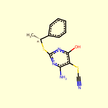 C[C@@H](Sc1nc(N)c(SC#N)c(O)n1)c1ccccc1